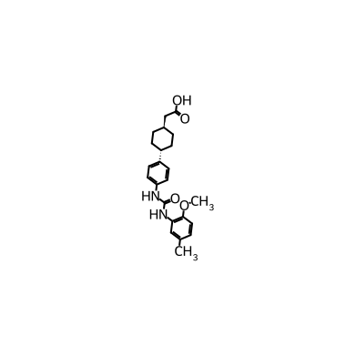 COc1ccc(C)cc1NC(=O)Nc1ccc([C@H]2CC[C@H](CC(=O)O)CC2)cc1